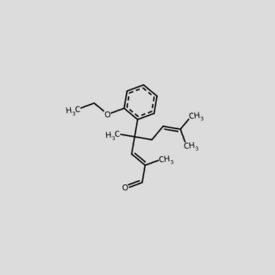 CCOc1ccccc1C(C)(/C=C(\C)C=O)CC=C(C)C